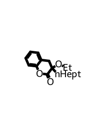 CCCCCCCC1(OCC)Cc2ccccc2OC1=O